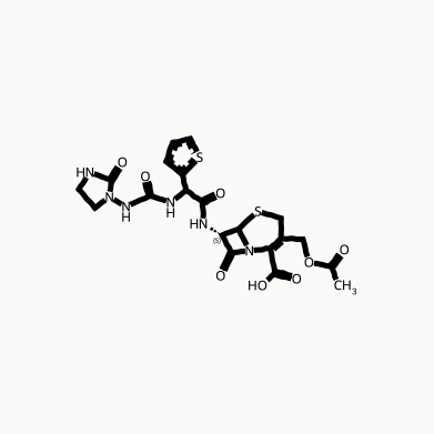 CC(=O)OCC1=C(C(=O)O)N2C(=O)[C@H](NC(=O)C(NC(=O)NN3CCNC3=O)c3cccs3)C2SC1